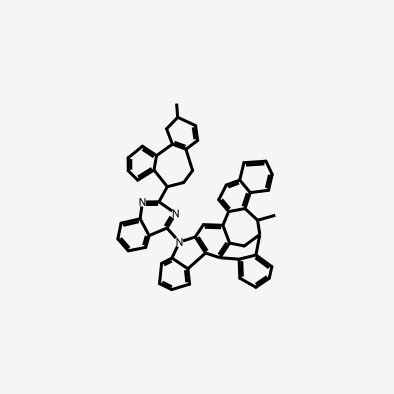 CC1C=CC2=C(C1)c1ccccc1C(c1nc(-n3c4ccccc4c4c5c6c(cc43)-c3ccc4ccccc4c3C(C)C(C6)c3ccccc3-5)c3ccccc3n1)CC2